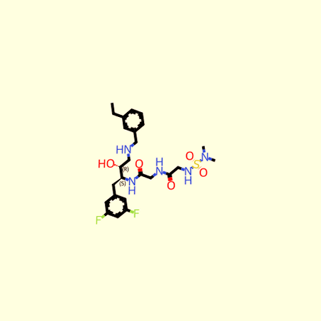 CCc1cccc(CNC[C@@H](O)[C@H](Cc2cc(F)cc(F)c2)NC(=O)CNC(=O)CNS(=O)(=O)N(C)C)c1